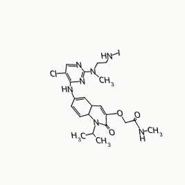 CNC(=O)COC1=CC2C=C(Nc3nc(N(C)CCNI)ncc3Cl)C=CC2N(C(C)C)C1=O